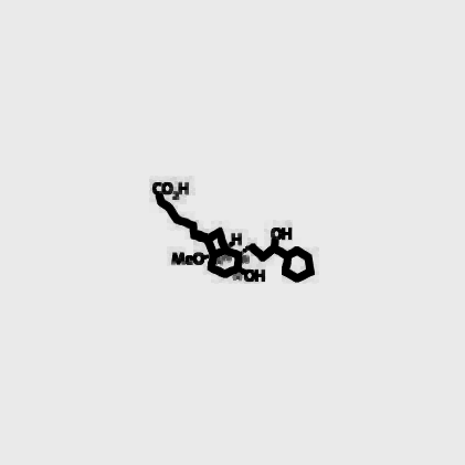 CO[C@@]12CC[C@H](O)[C@@H](CCC(O)C3CCCCC3)[C@@H]1CC2=CCCCCC(=O)O